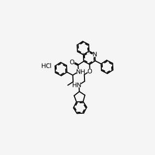 CCC(NC(=O)c1c(OCCNC2Cc3ccccc3C2)c(-c2ccccc2)nc2ccccc12)c1ccccc1.Cl